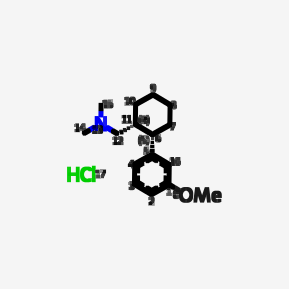 COc1cccc([C@H]2CCCC[C@H]2CN(C)C)c1.Cl